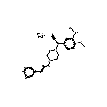 COc1ccc(C(C#N)N2CCN(CC=Cc3ccccc3)CC2)cc1OC.Cl.Cl